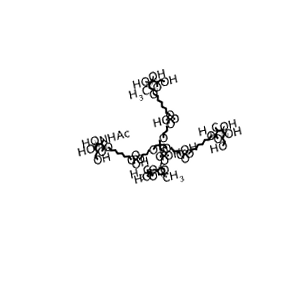 CC(=O)NC1[C@H](OCCCCCCOP(=O)(O)OCCCOCC(COCCCOP(=O)(O)OCCCCCCO[C@@H]2OC(CO)[C@H](O)[C@H](O)C2C)(COCCCOP(=O)(O)OCCCCCCO[C@@H]2OC(CO)[C@H](O)[C@H](O)C2C)COP(=O)(O)OC[C@H]2O[C@@H](C)CC2OP(C)(=O)O)OC(CO)[C@H](O)[C@@H]1O